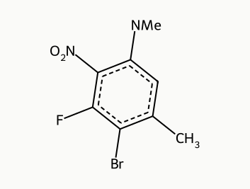 CNc1cc(C)c(Br)c(F)c1[N+](=O)[O-]